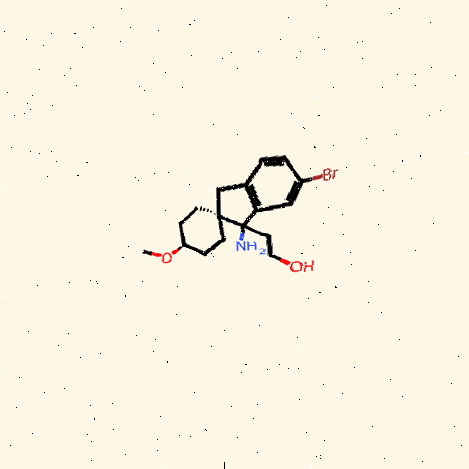 CO[C@H]1CC[C@]2(CC1)Cc1ccc(Br)cc1C2(N)CCO